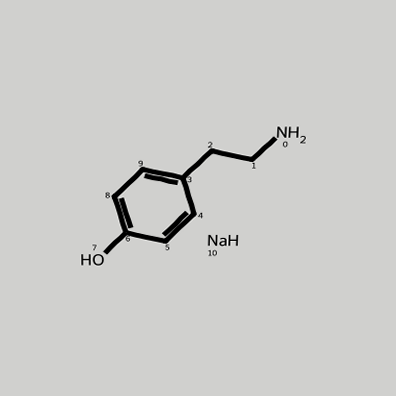 NCCc1ccc(O)cc1.[NaH]